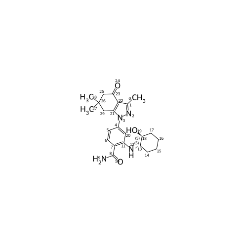 Cc1nn(-c2ccc(C(N)=O)c(N[C@H]3CCCC[C@@H]3O)c2)c2c1C(=O)CC(C)(C)C2